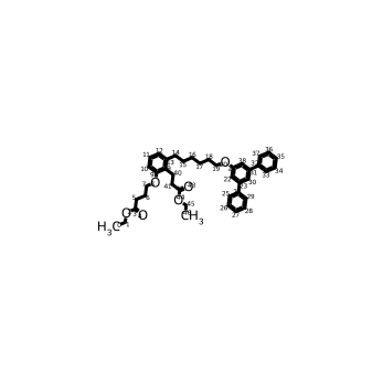 CCOC(=O)CCCOc1cccc(CCCCCCOc2cc(-c3ccccc3)cc(-c3ccccc3)c2)c1CCC(=O)OCC